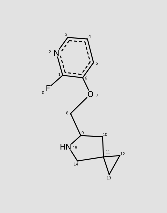 Fc1ncccc1OCC1CC2(CC2)CN1